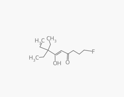 CCC(CC)(CC)/C(O)=C/C(=O)CCCF